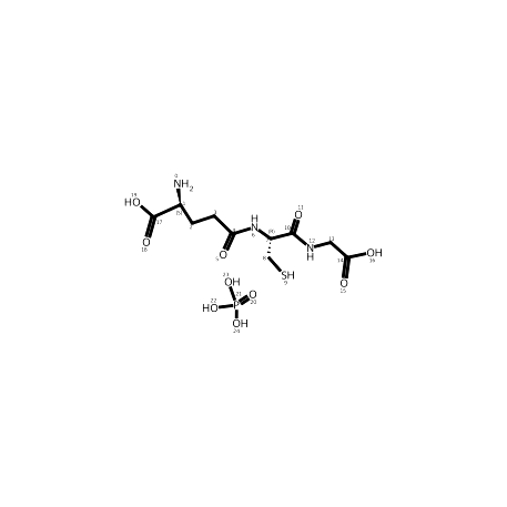 N[C@@H](CCC(=O)N[C@@H](CS)C(=O)NCC(=O)O)C(=O)O.O=P(O)(O)O